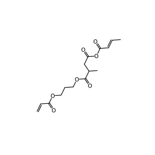 C=CC(=O)OCCCOC(=O)C(C)CC(=O)OC(=O)C=CC